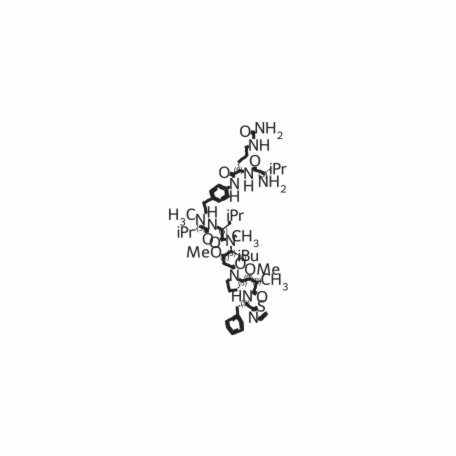 CC[C@H](C)[C@@H]([C@@H](CC(=O)N1CCC[C@H]1[C@H](OC)[C@@H](C)C(=O)N[C@@H](Cc1ccccc1)c1nccs1)OC)N(C)C(=O)[C@H](CC(C)C)NC(=O)[C@H](C(C)C)N(C)CCc1ccc(NC(=O)[C@H](CCCNC(N)=O)NC(=O)[C@@H](N)C(C)C)cc1